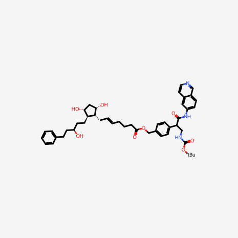 CC(C)(C)OC(=O)NCC(C(=O)Nc1ccc2cnccc2c1)c1ccc(COC(=O)CCC/C=C/C[C@@H]2[C@@H](CC[C@@H](O)CCc3ccccc3)[C@H](O)C[C@@H]2O)cc1